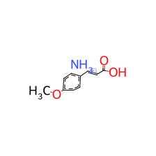 COc1ccc(/C=C/C(=O)O)cc1.N